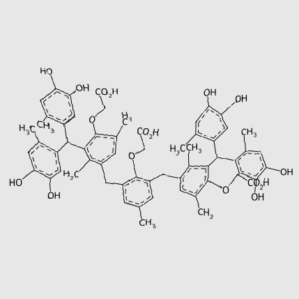 Cc1cc(Cc2cc(C)c(OCC(=O)O)c(C(c3cc(O)c(O)cc3C)c3cc(O)c(O)cc3C)c2C)c(OCC(=O)O)c(Cc2cc(C)c(OCC(=O)O)c(C(c3cc(O)c(O)cc3C)c3cc(O)c(O)cc3C)c2C)c1